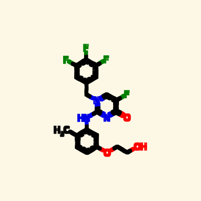 Cc1ccc(OCCO)cc1Nc1nc(=O)c(F)cn1Cc1cc(F)c(F)c(F)c1